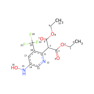 CCOC(=O)C(C(=O)OCC)c1ncc(NO)cc1C(F)(F)F